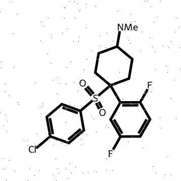 CNC1CCC(c2cc(F)ccc2F)(S(=O)(=O)c2ccc(Cl)cc2)CC1